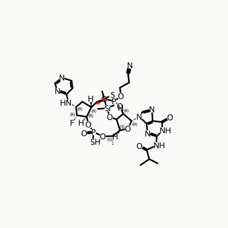 CC(C)C(=O)Nc1nc2c(ncn2[C@@H]2O[C@H]3C(O[Si](C)(C)C(C)(C)C)[C@H]2OP(=S)(OCCC#N)OC[C@H]2C[C@@H](Nc4ccncn4)[C@@H](F)[C@@H]2OP(=O)(S)O[C@H]3C)c(=O)[nH]1